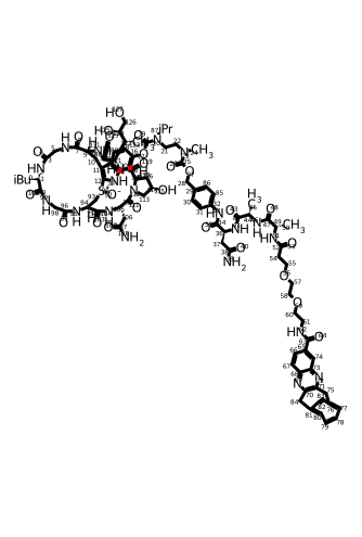 CC[C@H](C)[C@@H]1NC(=O)CNC(=O)[C@H]2Cc3c([nH]c4cc(OC(=O)N(CCN(C)C(=O)OCc5ccc(NC(=O)[C@H](CC(N)=O)NC(=O)[C@H](C)NC(=O)[C@H](C)NC(=O)CCOCCOCCNC(=O)c6ccc7nc8c(nc7c6)CC6=C\C=C/C=C(/C=C\6)C8)cc5)C(C)C)ccc34)[S+]([O-])C[C@H](NC(=O)CNC1=O)C(=O)N[C@@H](CC(N)=O)C(=O)N1C[C@H](O)C[C@H]1C(=O)N[C@@H]([C@@H](C)[C@@H](O)CO)C(=O)N2